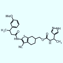 COc1cccc(C(C)CC(=O)Nc2sc3c(c2C#N)CCC(COC(=O)NC(C)c2cn[nH]c2)C3)c1